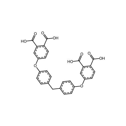 O=C(O)c1ccc(Oc2ccc(Cc3ccc(Oc4ccc(C(=O)O)c(C(=O)O)c4)cc3)cc2)cc1C(=O)O